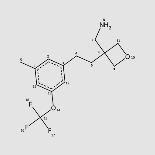 Cc1cc(CCC2(CN)COC2)cc(OC(F)(F)F)c1